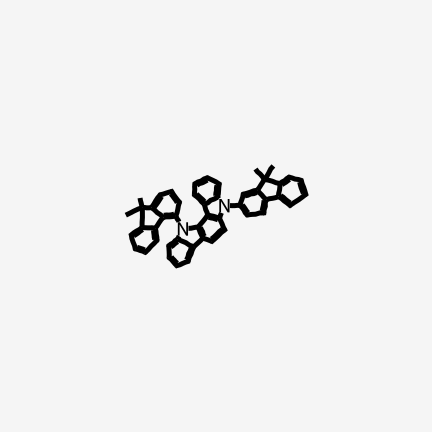 CC1(C)c2ccccc2-c2ccc(-n3c4ccccc4c4c3ccc3c5ccccc5n(-c5cccc6c5-c5ccccc5C6(C)C)c34)cc21